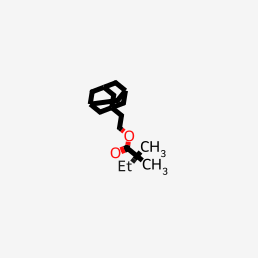 CCC(C)(C)C(=O)OCCC12CC3CC(CC(C3)C1)C2